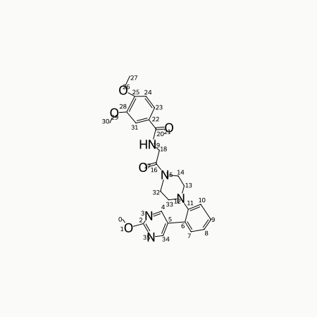 COc1ncc(-c2ccccc2N2CCN(C(=O)CNC(=O)c3ccc(OC)c(OC)c3)CC2)cn1